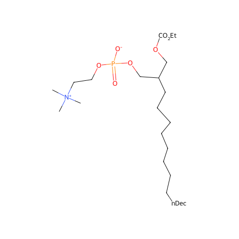 CCCCCCCCCCCCCCCCCCC(COC(=O)OCC)COP(=O)([O-])OCC[N+](C)(C)C